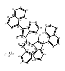 CC1=C(c2cccc3ccccc23)c2ccccc2[CH]1[Zr+2]([CH]1C(C)=C(c2cccc3ccccc23)c2ccccc21)=[Si](C)c1ccccc1.[Cl-].[Cl-]